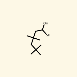 CC(C)(C)CC(C)(C)CC(O)S